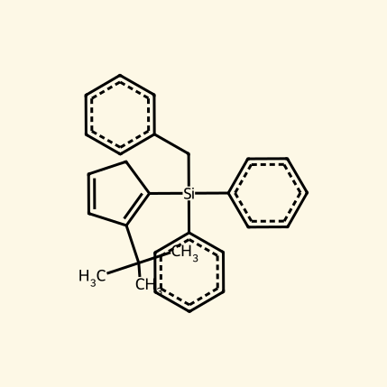 CC(C)(C)C1=C([Si](Cc2ccccc2)(c2ccccc2)c2ccccc2)CC=C1